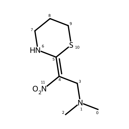 CN(C)CC(=C1NCCCS1)[N+](=O)[O-]